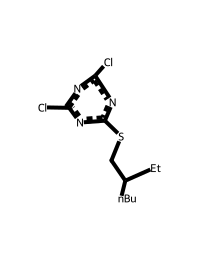 CCCCC(CC)CSc1nc(Cl)nc(Cl)n1